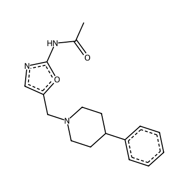 CC(=O)Nc1ncc(CN2CCC(c3ccccc3)CC2)o1